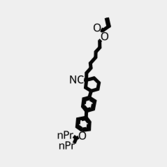 C=CC(=O)OCCCCCCCC1(C#N)CCCC(c2ccc(-c3ccc(OC(CCC)CCC)cc3)cc2)C1